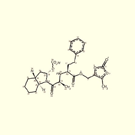 Cc1oc(=O)oc1COC(=O)[C@H](CCc1ccccc1)N[C@@H](C)C(=O)N1[C@@H](OC(=O)O)C[C@H]2CCCC[C@@H]21